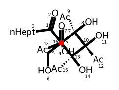 CCCCCCCC(=O)[C@@](O)(CO)[C@](O)(C(C)=O)[C@@](O)(C(C)=O)[C@](O)(C(C)=O)C(=O)C(C)=O